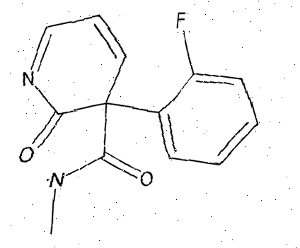 C[N]C(=O)C1(c2ccccc2F)C=CC=NC1=O